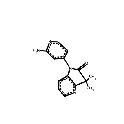 CC1(C)C(=O)N(c2ccnc(N)c2)c2cccnc21